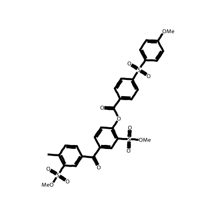 COc1ccc(S(=O)(=O)c2ccc(C(=O)Oc3ccc(C(=O)c4ccc(C)c(S(=O)(=O)OC)c4)cc3S(=O)(=O)OC)cc2)cc1